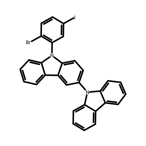 Brc1ccc(I)cc1-n1c2ccccc2c2cc(-n3c4ccccc4c4ccccc43)ccc21